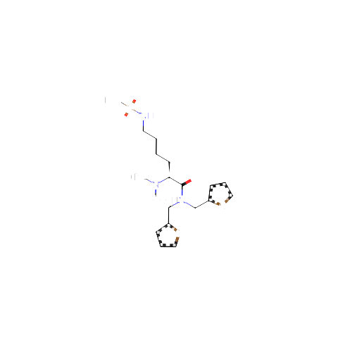 CC(C)(C)N(C(=O)O)[C@@H](CCCCNS(=O)(=O)C(F)(F)F)C(=O)N(Cc1cccs1)Cc1cccs1